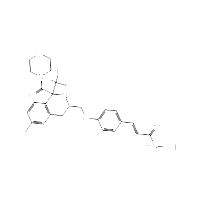 Cc1ccc2c(c1)CC(COc1ccc(/C=C/C(=O)NO)cc1)NC2(C(=O)N1CCOCC1)C(F)(F)F